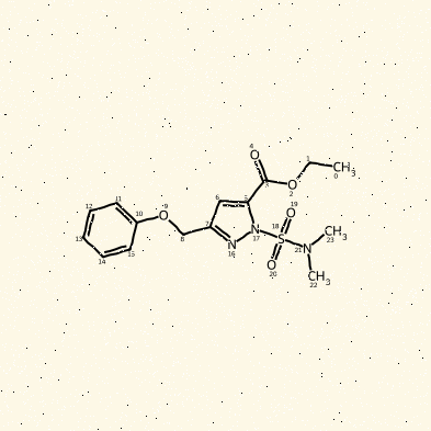 CCOC(=O)c1cc(COc2ccccc2)nn1S(=O)(=O)N(C)C